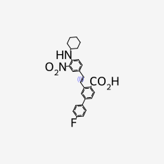 O=C(O)c1ccc(-c2ccc(F)cc2)cc1/C=C/c1ccc(NC2CCCCC2)c([N+](=O)[O-])c1